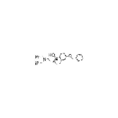 CC(C)CN(CC[C@H]1CCc2cc(OCc3ccccc3)ccc2[C@@H]1O)CC(C)C